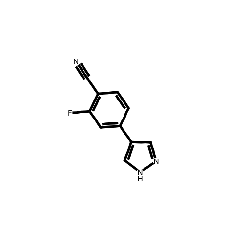 N#Cc1ccc(-c2cn[nH]c2)cc1F